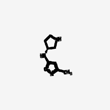 Cc1cc(N[C@@H]2CCNC2)on1